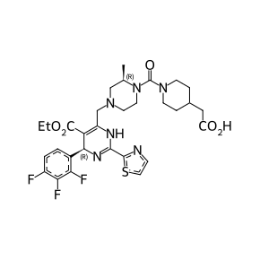 CCOC(=O)C1=C(CN2CCN(C(=O)N3CCC(CC(=O)O)CC3)[C@H](C)C2)NC(c2nccs2)=N[C@H]1c1ccc(F)c(F)c1F